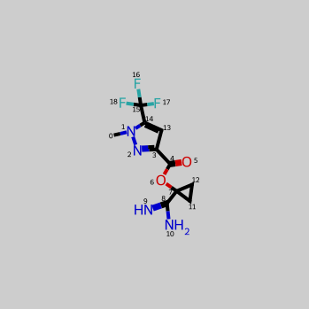 Cn1nc(C(=O)OC2(C(=N)N)CC2)cc1C(F)(F)F